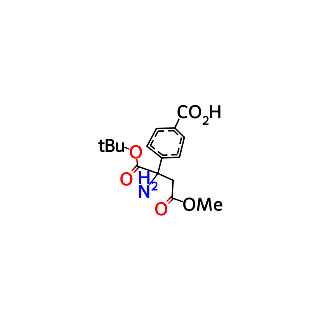 COC(=O)CC(N)(C(=O)OC(C)(C)C)c1ccc(C(=O)O)cc1